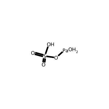 O.O=S(=O)(O)[O][Pa]